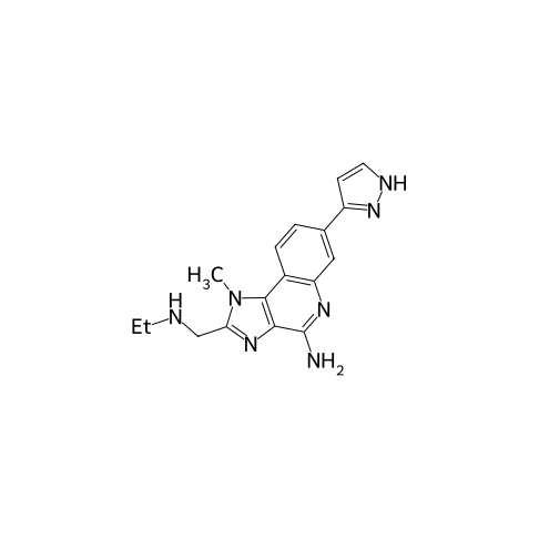 CCNCc1nc2c(N)nc3cc(-c4cc[nH]n4)ccc3c2n1C